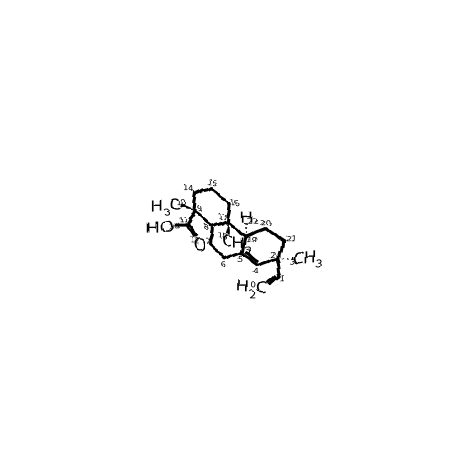 C=C[C@@]1(C)C=C2CCC3[C@](C)(C(=O)O)CCC[C@]3(C)[C@H]2CC1